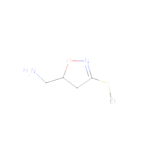 CCSC1=NOC(CN)C1